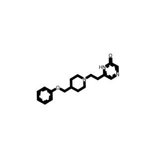 O=c1cncc(CCN2CCC(COc3ccccc3)CC2)[nH]1